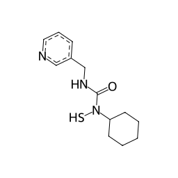 O=C(NCc1cccnc1)N(S)C1CCCCC1